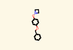 c1ccc(COc2ccc(ON3CCC3)cc2)cc1